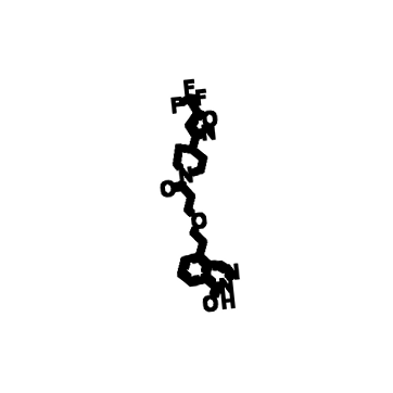 O=C(CCOCCc1cccc2c(=O)[nH]ncc12)N1CCC(c2cc(C(F)(F)F)on2)CC1